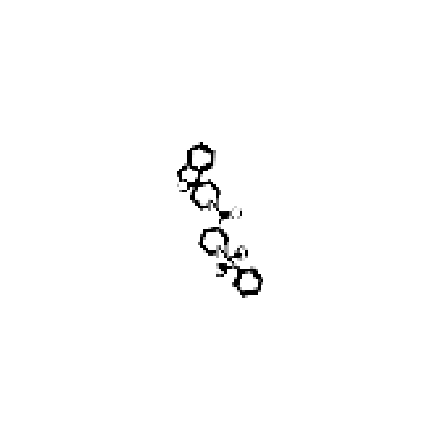 O=C([C@@H]1CCCN(S(=O)(=O)c2ccccc2)C1)N1CCC2(CC1)OCc1ccccc12